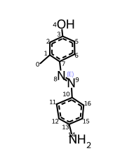 Cc1cc(O)ccc1/N=N/c1ccc(N)cc1